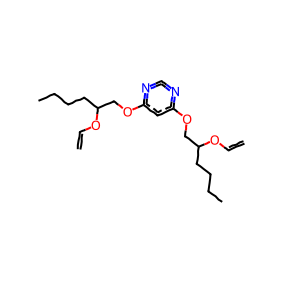 C=COC(CCCC)COc1cc(OCC(CCCC)OC=C)ncn1